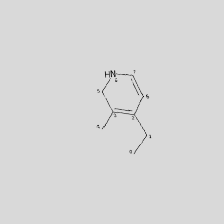 CCC1=C(C)CNC=C1